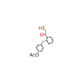 CC(=O)Oc1ccc(Cc2ccccc2C(=O)CS)cc1